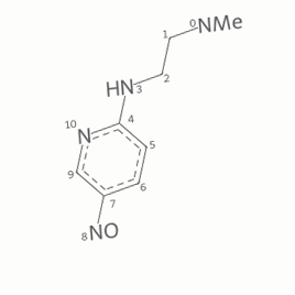 CNCCNc1ccc(N=O)cn1